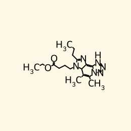 CCCC1=NC2=C3NN=NN3C(C)=C(C)C2N1CCCC(=O)OCC